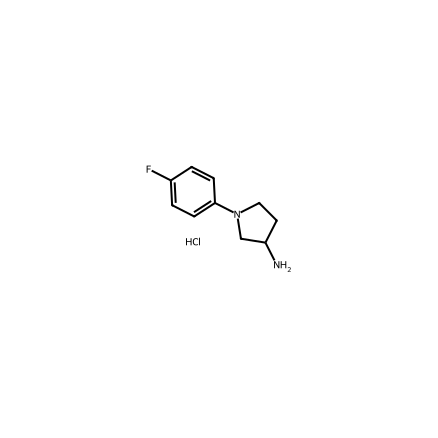 Cl.NC1CCN(c2ccc(F)cc2)C1